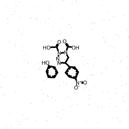 O=C(O)N1CC(c2ccc([N+](=O)[O-])cc2)N=NN1C(=O)O.Oc1ccccc1